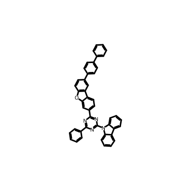 c1ccc(-c2ccc(-c3ccc4oc5cc(-c6nc(-c7ccccc7)nc(-n7c8ccccc8c8ccccc87)n6)ccc5c4c3)cc2)cc1